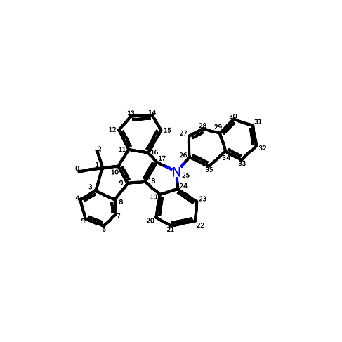 CC1(C)c2ccccc2-c2c1c1ccccc1c1c2c2ccccc2n1-c1ccc2ccccc2c1